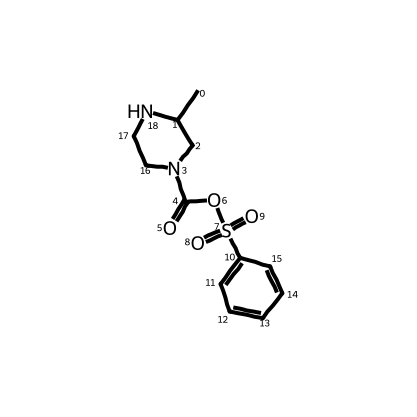 CC1CN(C(=O)OS(=O)(=O)c2ccccc2)CCN1